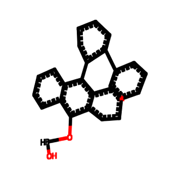 OBOc1c2ccccc2c(-c2ccccc2-c2ccccc2)c2ccccc12